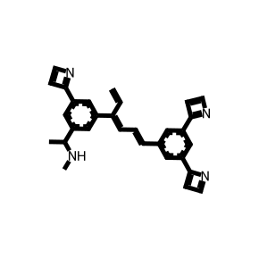 C=C/C(=C\C=Cc1cc(C2=CC=N2)cc(C2=NC=C2)c1)c1cc(C2=NC=C2)cc(C(C)NC)c1